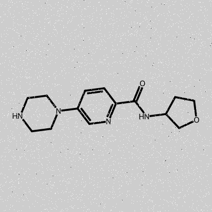 O=C(NC1CCOC1)c1ccc(N2CCNCC2)cn1